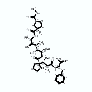 CC[C@H](C)[C@@H]([C@@H](CC(=O)[C@@]1([C@H](OC)[C@@H](C)C(=O)N[C@@H](Cc2ccccc2)C(=O)OC)CCCN1)OC)N(C)C(=O)[C@@H](NC(=O)[C@]1(F)CCN(C(=O)OC(C)(C)C)C1)C(C)C